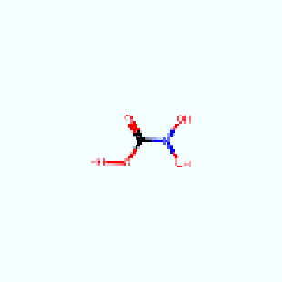 O=C(OO)N(O)O